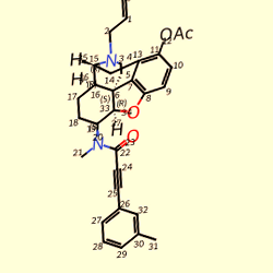 C=CCN1CC[C@@]23c4c5ccc(OC(C)=O)c4C[C@@H]1[C@@H]2CC[C@H](N(C)C(=O)C#Cc1cccc(C)c1)[C@@H]3O5